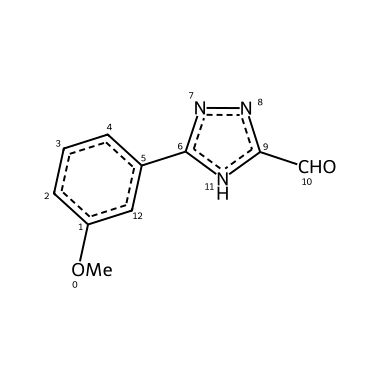 COc1cccc(-c2nnc(C=O)[nH]2)c1